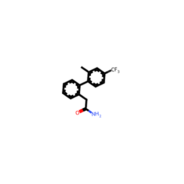 Cc1cc(C(F)(F)F)ccc1-c1ccccc1CC(N)=O